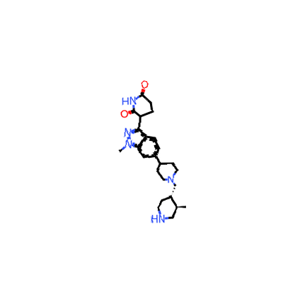 C[C@H]1CNCC[C@@H]1CN1CCC(c2ccc3c(C4CCC(=O)NC4=O)nn(C)c3c2)CC1